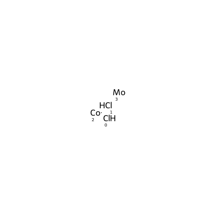 Cl.Cl.[Co].[Mo]